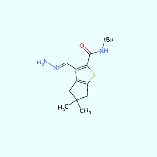 CC1(C)Cc2sc(C(=O)NC(C)(C)C)c(C=NN)c2C1